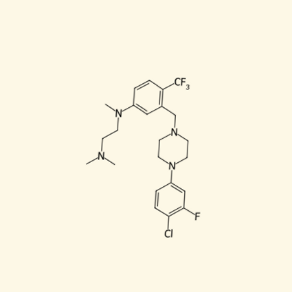 CN(C)CCN(C)c1ccc(C(F)(F)F)c(CN2CCN(c3ccc(Cl)c(F)c3)CC2)c1